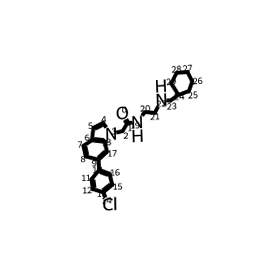 O=C(Cn1ccc2ccc(-c3ccc(Cl)cc3)cc21)NCCNCC1CCCCC1